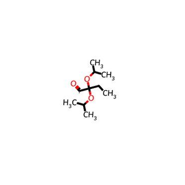 CCC([C]=O)(OC(C)C)OC(C)C